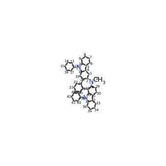 CN1c2cc3c4ccccc4n(-c4ccccc4)c3cc2-c2ccccc2-c2c1ccc1c3ccccc3n(-c3ccccc3)c21